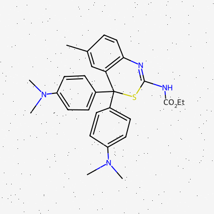 CCOC(=O)NC1=Nc2ccc(C)cc2C(c2ccc(N(C)C)cc2)(c2ccc(N(C)C)cc2)S1